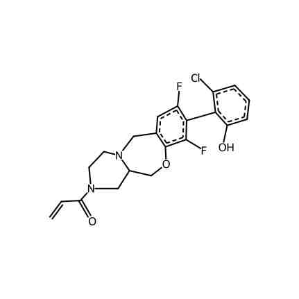 C=CC(=O)N1CCN2Cc3cc(F)c(-c4c(O)cccc4Cl)c(F)c3OCC2C1